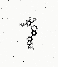 Nc1nc(Cl)c(CO)c(N2CCOc3ccc(-c4cnc5sc(N)nc5c4)cc3C2)n1